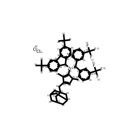 CC1=[C]([Zr+2](=[C](c2cccc(C(F)(F)F)c2)c2cccc(C(F)(F)F)c2)[CH]2c3ccc(C(C)(C)C)cc3-c3cc(C(C)(C)C)ccc32)C(C)C=C1CC12CC3CC(CC(C3)C1)C2.[Cl-].[Cl-]